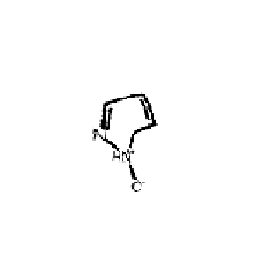 [O-][NH+]1C=CC=N1